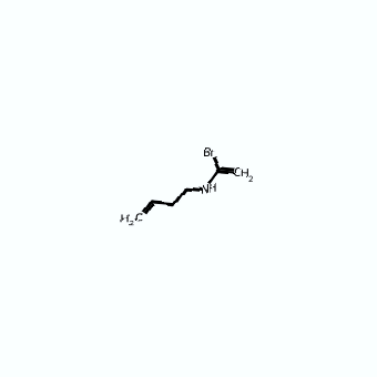 C=CCCNC(=C)Br